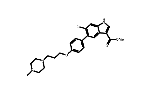 COC(=O)c1c[nH]c2cc(Cl)c(-c3ccc(OCCCN4CCN(C)CC4)cc3)cc12